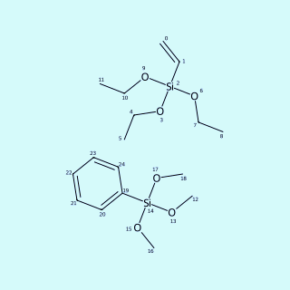 C=C[Si](OCC)(OCC)OCC.CO[Si](OC)(OC)c1ccccc1